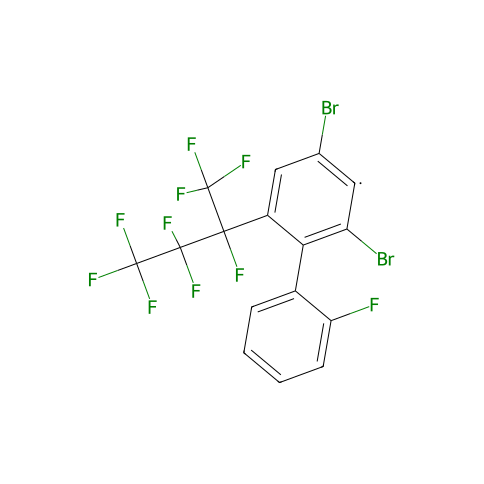 Fc1ccccc1-c1c(Br)[c]c(Br)cc1C(F)(C(F)(F)F)C(F)(F)C(F)(F)F